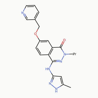 Cc1cc(Nc2nn(C(C)C)c(=O)c3cc(OCc4cccnc4)ccc23)n[nH]1